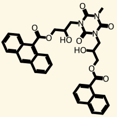 Cn1c(=O)n(CC(O)COC(=O)c2cccc3ccccc23)c(=O)n(CC(O)COC(=O)c2c3ccccc3cc3ccccc23)c1=O